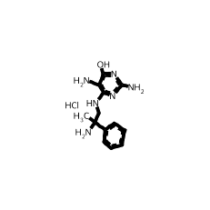 CC(N)(CNc1nc(N)nc(O)c1N)c1ccccc1.Cl